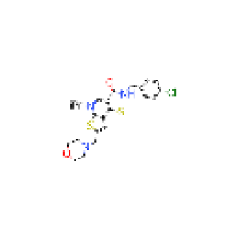 CC(C)n1cc(C(=O)NCc2ccc(Cl)cc2)c(=S)c2cc(CN3CCOCC3)sc21